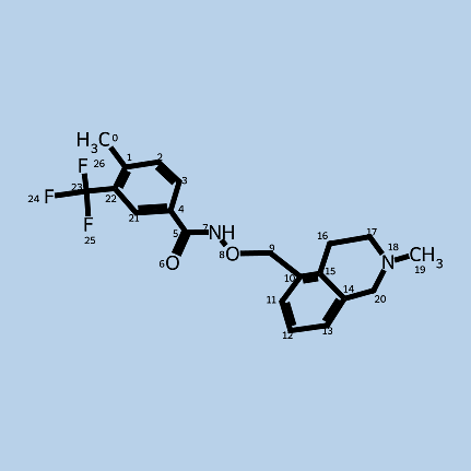 Cc1ccc(C(=O)NOCc2cccc3c2CCN(C)C3)cc1C(F)(F)F